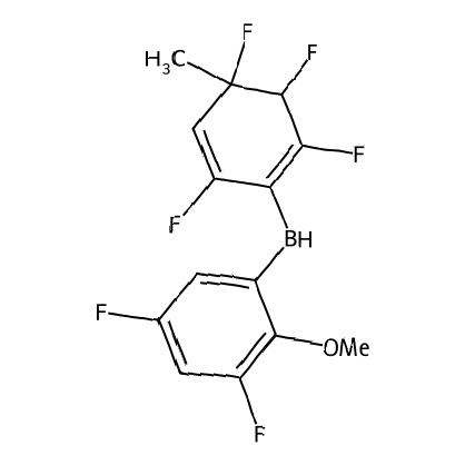 COc1c(F)cc(F)cc1BC1=C(F)C(F)C(C)(F)C=C1F